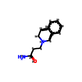 NC(=O)CCN1C=c2ccccc2=CC1